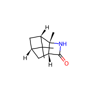 CC1(C)[C@@H]2C[C@H]3C(=O)N[C@@]3(C)[C@H]1C2